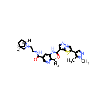 Cc1ncc(C(=O)NCCN2C[C@H]3CC[C@@H]2C3)cc1NC(=O)c1cnn2cc(-c3cnn(C)c3C)sc12